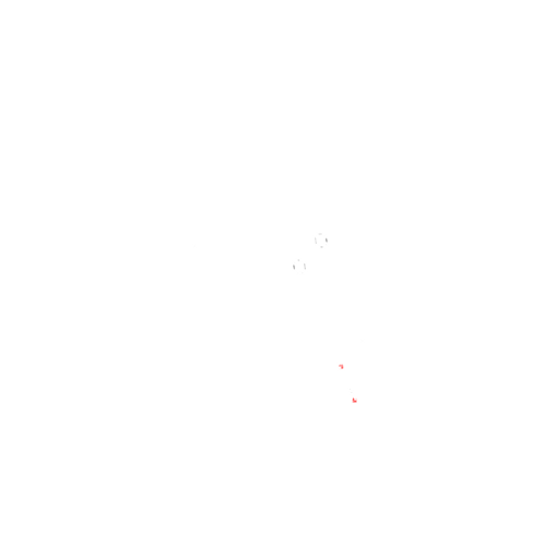 Cc1ccc2ccccc2c1C(OOC(c1c(C)ccc2ccccc12)c1c(C)ccc2ccccc12)c1c(C)ccc2ccccc12